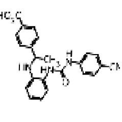 CC(Nc1ccccc1NC(=O)Nc1ccc(C#N)cc1)c1ccc(C(=O)O)cc1